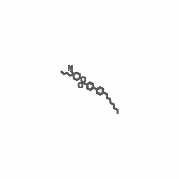 CCCCCCCCc1ccc(-c2ccc(C(=O)OC3CCC(C#N)(CCCC)CC3)cc2)cc1